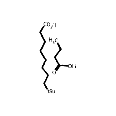 CC(C)(C)CCCCCCCC(=O)O.CCCC(=O)O